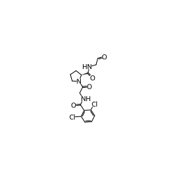 O=CCNC(=O)[C@@H]1CCCN1C(=O)CNC(=O)c1c(Cl)cccc1Cl